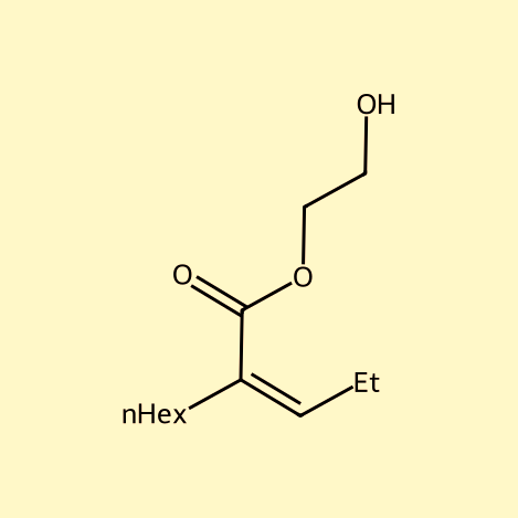 CCC=C(CCCCCC)C(=O)OCCO